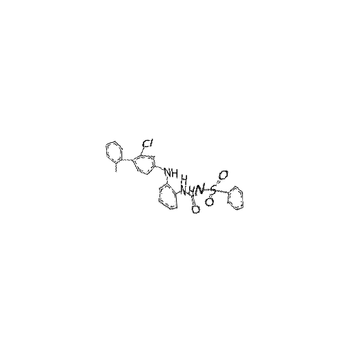 Cc1ccccc1-c1ccc(Nc2ccccc2NC(=O)NS(=O)(=O)c2ccccc2)cc1Cl